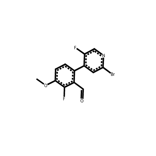 COc1ccc(-c2cc(Br)ncc2F)c(C=O)c1F